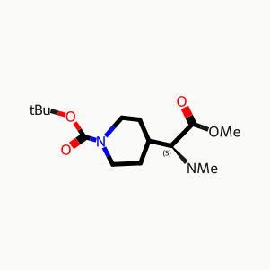 CN[C@H](C(=O)OC)C1CCN(C(=O)OC(C)(C)C)CC1